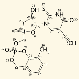 C#Cc1cn([C@@H]2O[C@](F)(COP3(=O)OCc4cccc(C)c4O3)C[C@H]2O)c(=S)[nH]c1=O